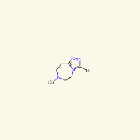 CC(C)(C)c1nnc2n1CCN(C(C)(C)C)CC2